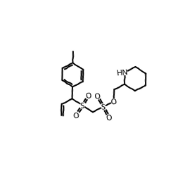 C=CC(c1ccc(C)cc1)S(=O)(=O)CS(=O)(=O)OCC1CCCCN1